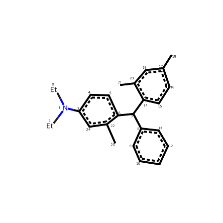 CCN(CC)c1ccc(C(c2ccccc2)c2ccc(C)cc2C)c(C)c1